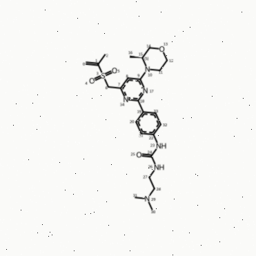 C=C(C)S(=O)(=O)Cc1cc(N2CCOC[C@@H]2C)nc(-c2ccc(NC(=O)NCCN(C)C)cc2)n1